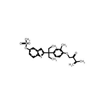 C=C(C)C(=O)COc1ccc(C(CC)(CC)c2cc3cc(OS(C)(=O)=O)ccc3s2)cc1C